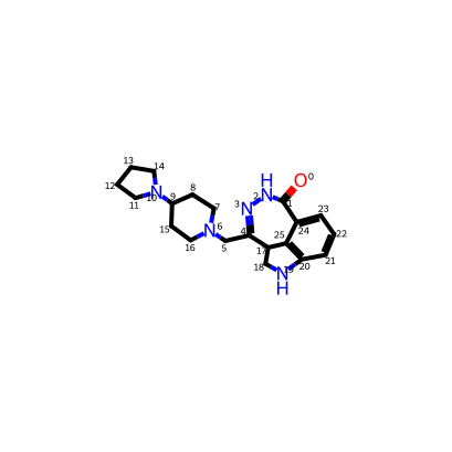 O=C1NN=C(CN2CCC(N3CCCC3)CC2)C2CNc3cccc1c32